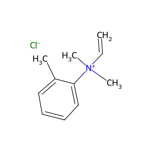 C=C[N+](C)(C)c1ccccc1C.[Cl-]